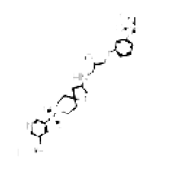 CNS(=O)(=O)c1cccc(OCC(O)CNC2COC3(CCN(S(=O)(=O)c4cncc(OC)c4)CC3)C2)c1